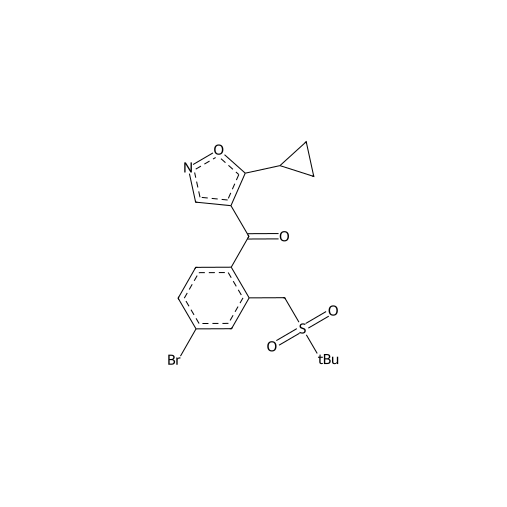 CC(C)(C)S(=O)(=O)Cc1cc(Br)ccc1C(=O)c1cnoc1C1CC1